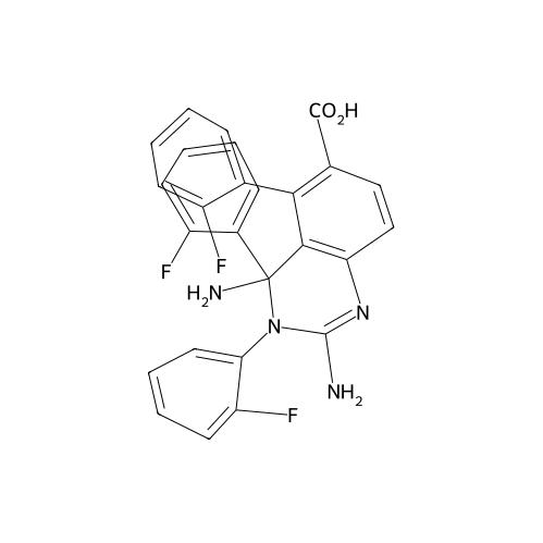 NC1=Nc2ccc(C(=O)O)c(-c3ccccc3F)c2C(N)(c2ccccc2F)N1c1ccccc1F